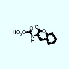 O=C(O)C(=O)Nc1cc2ccccc2oc1=O